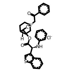 O=C(C[N+]12CCC(CC1)[C@@H](OC(=O)[C@@H](Nc1ccccc1)c1csc3ccccc13)C2)c1ccccc1.[Cl-]